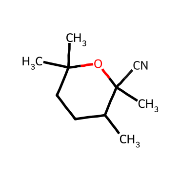 CC1CCC(C)(C)OC1(C)C#N